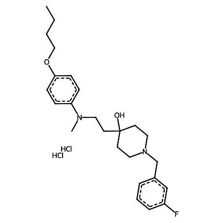 CCCCOc1ccc(N(C)CCC2(O)CCN(Cc3cccc(F)c3)CC2)cc1.Cl.Cl